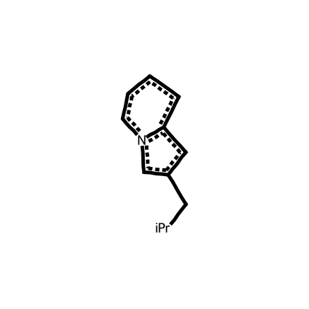 CC(C)Cc1cc2ccccn2c1